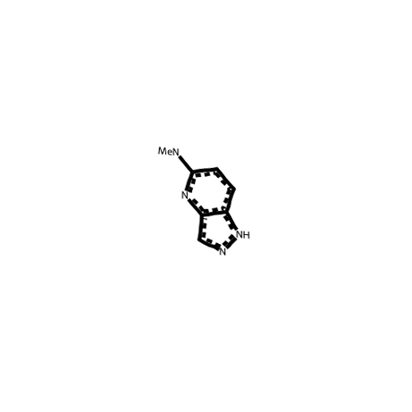 CNc1ccc2[nH]ncc2n1